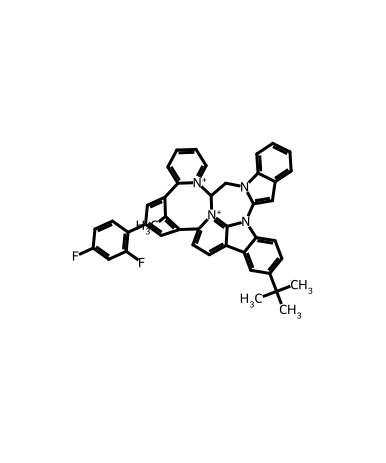 Cc1c2cc(-c3ccc(F)cc3F)cc1-c1ccc3c4cc(C(C)(C)C)ccc4n4c3[n+]1C(Cn1c-4cc3ccccc31)[n+]1ccccc1-2